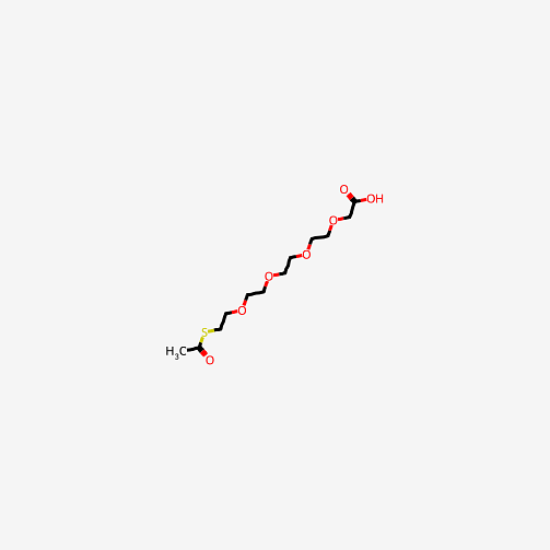 CC(=O)SCCOCCOCCOCCOCC(=O)O